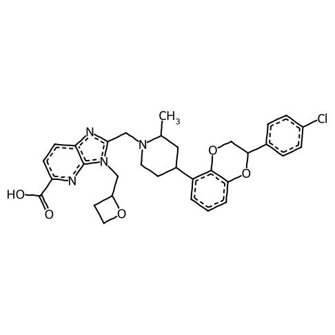 CC1CC(c2cccc3c2OCC(c2ccc(Cl)cc2)O3)CCN1Cc1nc2ccc(C(=O)O)nc2n1CC1CCO1